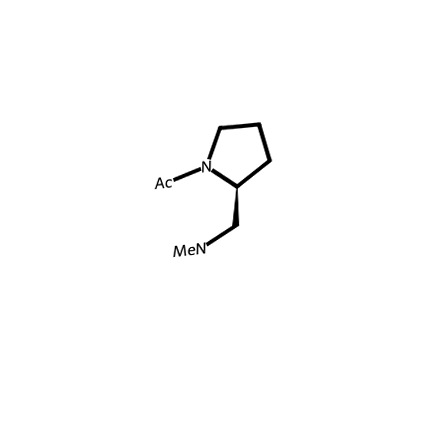 CNC[C@@H]1CCCN1C(C)=O